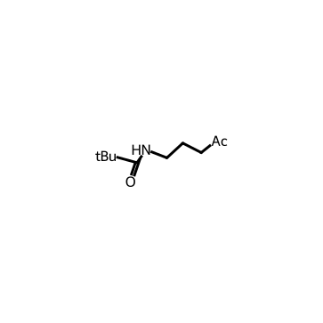 CC(=O)CCCNC(=O)C(C)(C)C